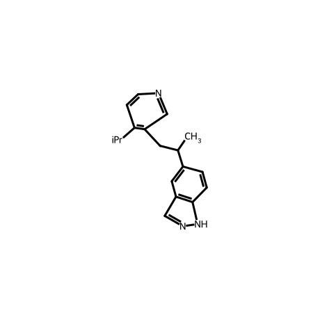 CC(C)c1ccncc1CC(C)c1ccc2[nH]ncc2c1